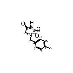 Cc1ccc(CN2CC(=O)NS2(=O)=O)cc1